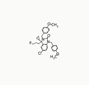 COc1ccc(CN2C(=O)N(Cc3ccc(OC)cc3)C(CCCF)(C3CC3)c3cc(Cl)ccc32)cc1